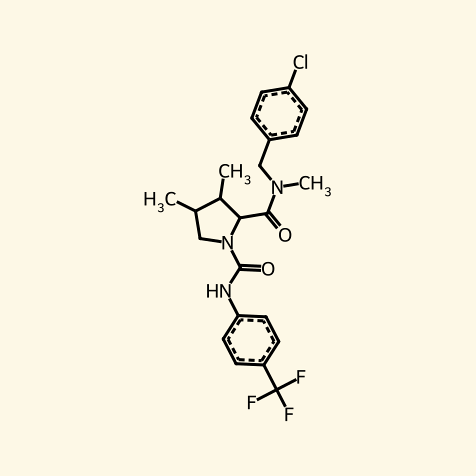 CC1CN(C(=O)Nc2ccc(C(F)(F)F)cc2)C(C(=O)N(C)Cc2ccc(Cl)cc2)C1C